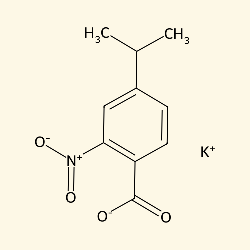 CC(C)c1ccc(C(=O)[O-])c([N+](=O)[O-])c1.[K+]